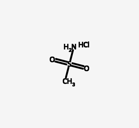 CS(N)(=O)=O.Cl